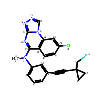 CN(c1cccc(C#CC2(CF)CC2)c1)c1nc2nncn2c2cc(Cl)ccc12